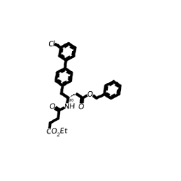 CCOC(=O)CCC(=O)N[C@@H](CC(=O)OCc1ccccc1)Cc1ccc(-c2cccc(Cl)c2)cc1